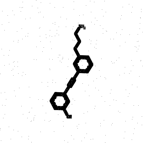 N#Cc1cccc(C#Cc2cccc(CCCN)c2)c1